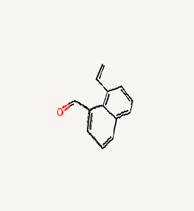 C=Cc1cccc2cccc(C=O)c12